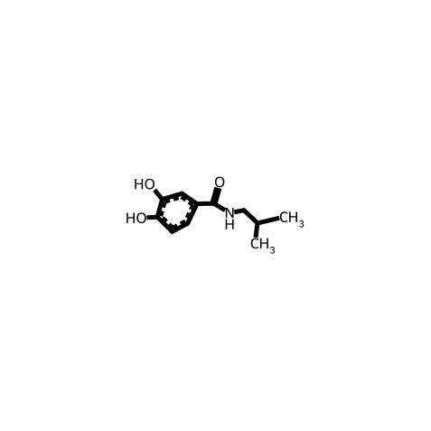 CC(C)CNC(=O)c1ccc(O)c(O)c1